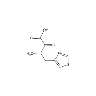 CC(Cc1cscn1)C(=O)C(=O)O